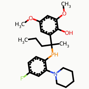 CCCC(C)(Pc1ccc(F)cc1N1CCCCC1)c1cc(OC)cc(OC)c1O